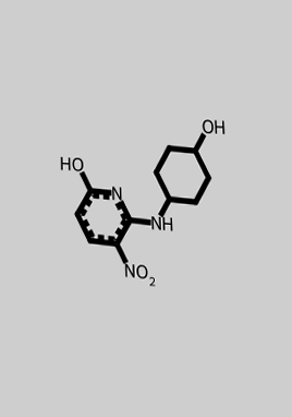 O=[N+]([O-])c1ccc(O)nc1NC1CCC(O)CC1